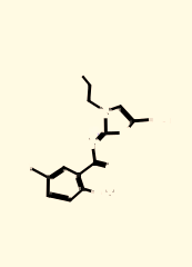 COc1ccc(Cl)cc1C(=S)/N=c1\sc(C(C)(C)C)cn1CCC(C)C